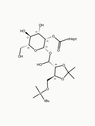 CCCCCCCC(=O)O[C@@H]1[C@H](OC(O)[C@@H]2OC(C)(C)O[C@H]2CO[Si](C)(C)C(C)(C)C)O[C@H](CO)[C@@H](O)[C@@H]1O